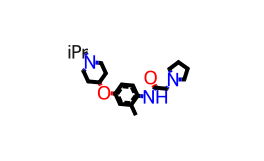 Cc1cc(OC2CCN(C(C)C)CC2)ccc1NC(=O)CN1CCCC1